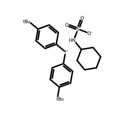 CC(C)(C)c1ccc([I+]c2ccc(C(C)(C)C)cc2)cc1.O=S(=O)([O-])NC1CCCCC1